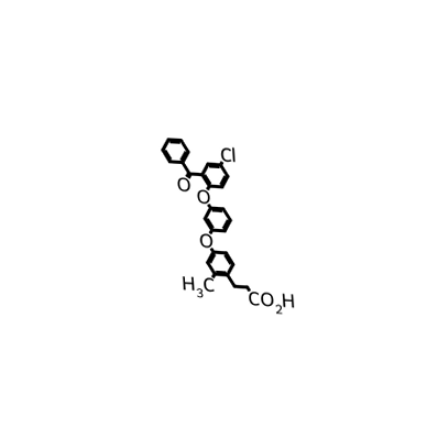 Cc1cc(Oc2cccc(Oc3ccc(Cl)cc3C(=O)c3ccccc3)c2)ccc1CCC(=O)O